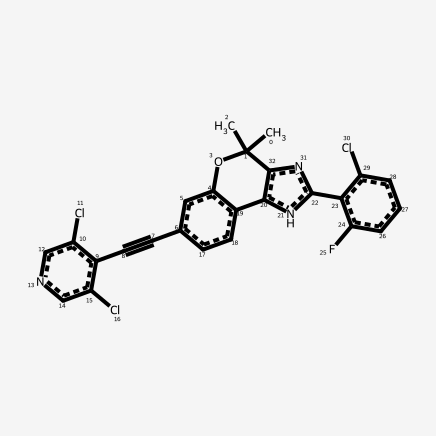 CC1(C)Oc2cc(C#Cc3c(Cl)cncc3Cl)ccc2-c2[nH]c(-c3c(F)cccc3Cl)nc21